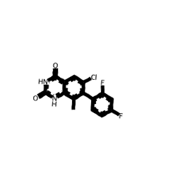 Cc1c(-c2ccc(F)cc2F)c(Cl)cc2c(=O)[nH]c(=O)[nH]c12